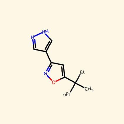 CCCC(C)(CC)c1cc(-c2cn[nH]c2)no1